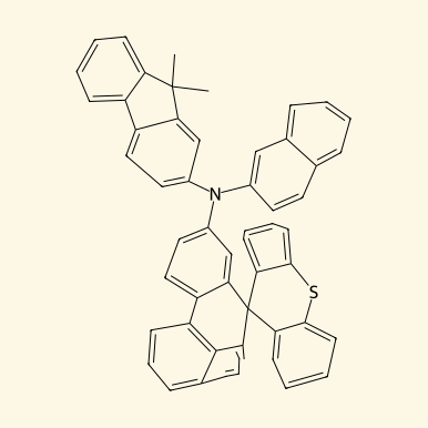 CC1(C)c2ccccc2-c2ccc(N(c3ccc4c(c3)C3(c5ccccc5Sc5ccccc53)c3cccc5cccc-4c35)c3ccc4ccccc4c3)cc21